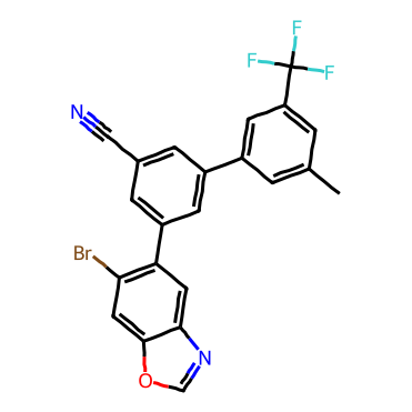 Cc1cc(-c2cc(C#N)cc(-c3cc4ncoc4cc3Br)c2)cc(C(F)(F)F)c1